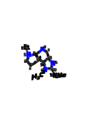 CCn1ccc2c1ncc1nc(NC)n(C)c12